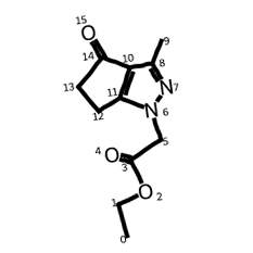 CCOC(=O)Cn1nc(C)c2c1CCC2=O